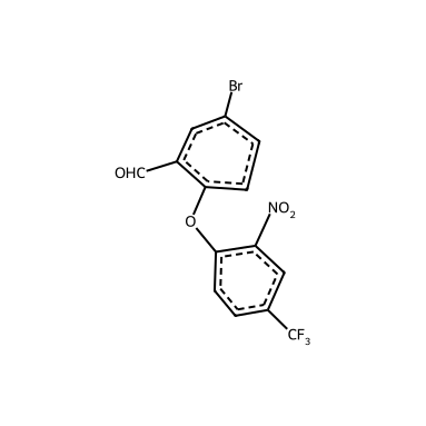 O=Cc1cc(Br)ccc1Oc1ccc(C(F)(F)F)cc1[N+](=O)[O-]